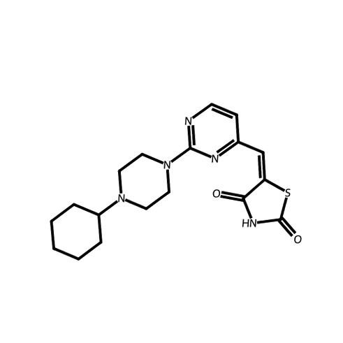 O=C1NC(=O)/C(=C\c2ccnc(N3CCN(C4CCCCC4)CC3)n2)S1